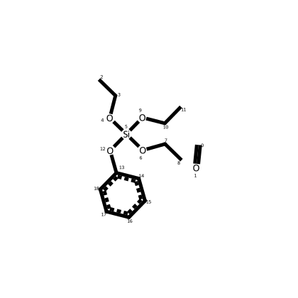 C=O.CCO[Si](OCC)(OCC)Oc1ccccc1